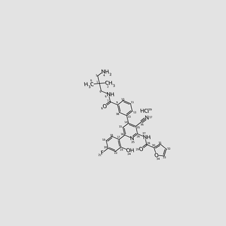 CC(C)(CN)CNC(=O)c1cccc(-c2cc(-c3ccc(F)cc3O)nc(NC(=O)c3ccco3)c2C#N)c1.Cl